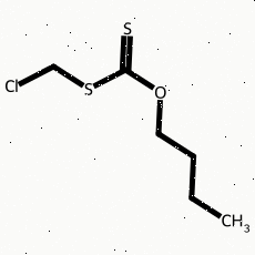 CCCCOC(=S)SCCl